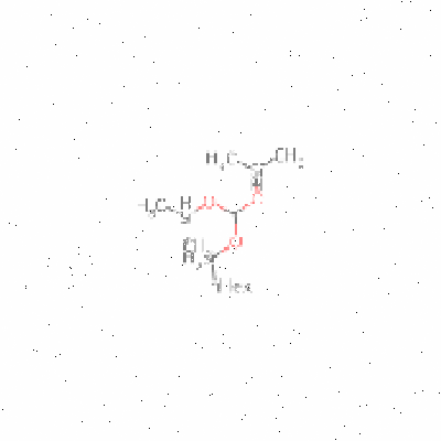 CCCCCC[SiH2]OC(O[SiH](C)C)O[SiH](C)C